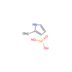 O=Cc1ccc[nH]1.O=[PH](O)O